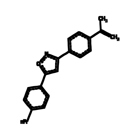 C=C(C)c1ccc(-c2cc(-c3ccc(CCC)cc3)on2)cc1